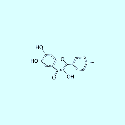 Cc1ccc(-c2oc3cc(O)c(O)cc3c(=O)c2O)cc1